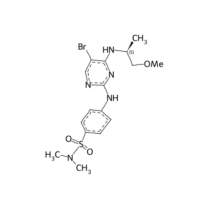 COC[C@H](C)Nc1nc(Nc2ccc(S(=O)(=O)N(C)C)cc2)ncc1Br